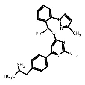 Cc1ccn(-c2ccccc2[C@@H](Oc2cc(-c3ccc(CC(N)C(=O)O)cc3)nc(N)n2)C(F)(F)F)n1